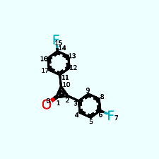 O=c1c(-c2ccc(F)cc2)c1-c1ccc(F)cc1